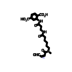 CN(CCCCCC(=O)NCCC(=O)Nc1cc(C(=O)O)ccc1C(=O)O)C(=O)/C=C\C=O